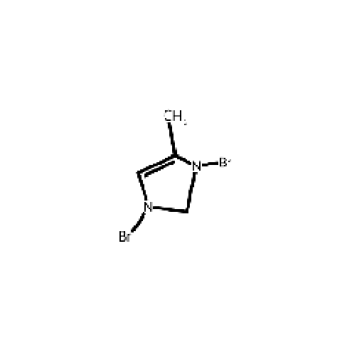 CC1=CN(Br)CN1Br